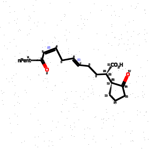 CCCCCC(=O)/C=C\C/C=C/CC[C@H](C(=O)O)[C@H]1CCCC1=O